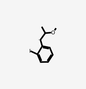 COC(C)[CH]c1ccccc1I